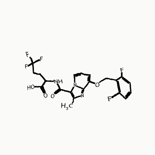 Cc1nc2c(OCc3c(F)cccc3F)cccn2c1C(=O)NC(CCC(F)(F)F)C(=O)O